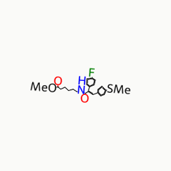 COC(=O)CCCCCNC(=O)C(=Cc1ccc(SC)cc1)c1ccc(F)cc1